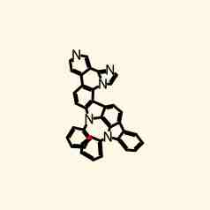 c1ccc(-n2c3ccccc3c3ccc4c5c(ccc6c7ccncc7c7nccn7c65)n(-c5ccccc5)c4c32)cc1